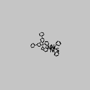 c1ccc(-c2ccc3c(c2)-c2cc(-c4ccccc4)ccc2C32c3cccc4ccc5c(c34)c3c2cccc3n5-c2nc(-c3ccccc3)c3sc4ccccc4c3n2)cc1